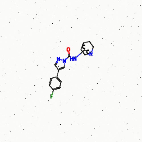 O=C(NC1CC2CCN(CC2)C1)n1cc(-c2ccc(F)cc2)cn1